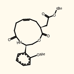 COc1ccccc1[C@@H]1COC(=O)[C@H](CC(=O)OC(C)(C)C)CC=CCCC(=O)N1